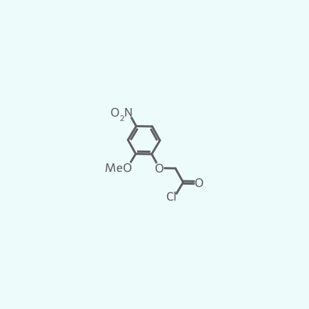 COc1cc([N+](=O)[O-])ccc1OCC(=O)Cl